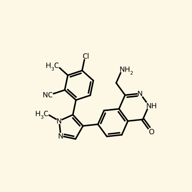 Cc1c(Cl)ccc(-c2c(-c3ccc4c(=O)[nH]nc(CN)c4c3)cnn2C)c1C#N